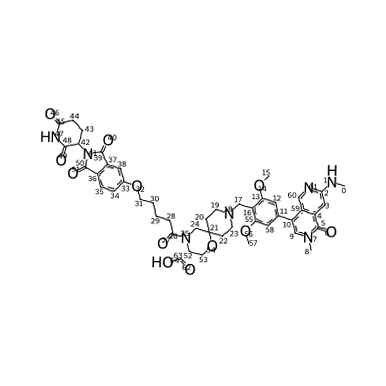 CNc1cc2c(=O)n(C)cc(-c3cc(OC)c(CN4CCC5(CC4)CN(C(=O)CCCCOc4ccc6c(c4)C(=O)N(C4CCC(=O)NC4=O)C6=O)CCO5)c(OC)c3)c2cn1.O=CO